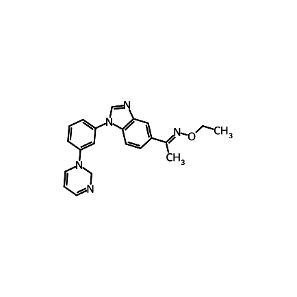 CCON=C(C)c1ccc2c(c1)ncn2-c1cccc(N2C=CC=NC2)c1